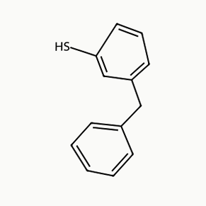 Sc1cccc(Cc2ccccc2)c1